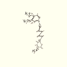 Cc1ccc(OCCCCC2CCC(C)CC2)cc1C